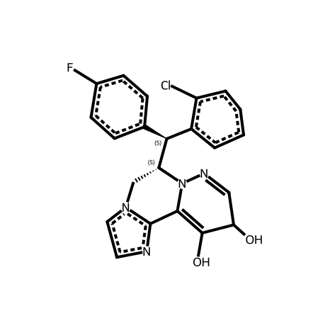 OC1=C2c3nccn3C[C@H]([C@@H](c3ccc(F)cc3)c3ccccc3Cl)N2N=CC1O